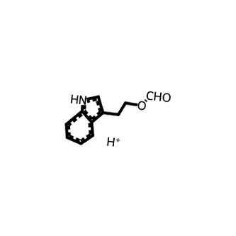 O=COCCc1c[nH]c2ccccc12.[H+]